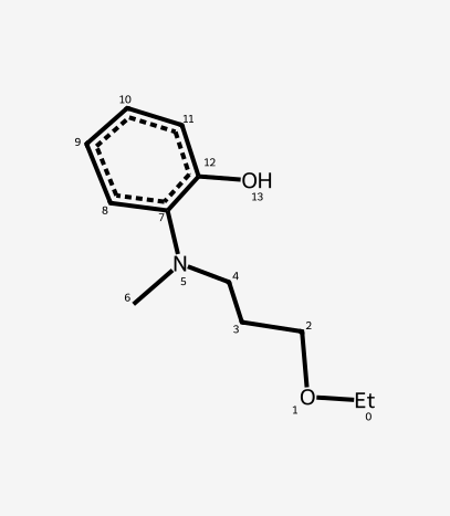 CCOCCCN(C)c1ccccc1O